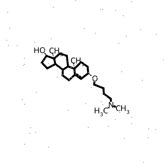 CN(C)CCCCO[C@@H]1C=C2CCC3C(CC[C@@]4(C)C3CC[C@@H]4O)[C@@]2(C)CC1